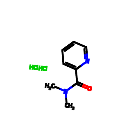 CN(C)C(=O)c1ccccn1.Cl.Cl